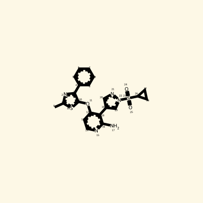 Cc1nc(-c2ccccc2)c(Oc2ccnc(N)c2-c2cnn(S(=O)(=O)C3CC3)c2)s1